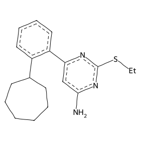 CCSc1nc(N)cc(-c2ccccc2C2CCCCCC2)n1